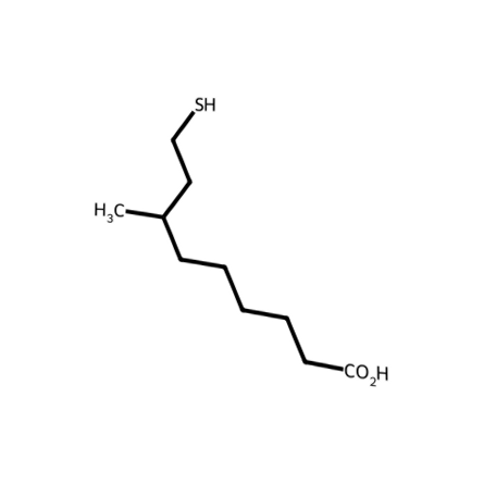 CC(CCS)CCCCCC(=O)O